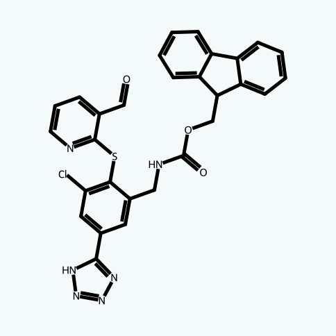 O=Cc1cccnc1Sc1c(Cl)cc(-c2nnn[nH]2)cc1CNC(=O)OCC1c2ccccc2-c2ccccc21